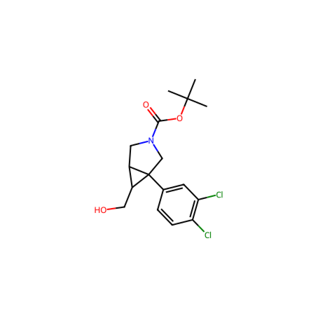 CC(C)(C)OC(=O)N1CC2C(CO)C2(c2ccc(Cl)c(Cl)c2)C1